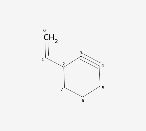 C=CC1C#CCCC1